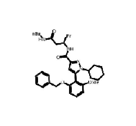 CCCCNC(=O)CC(NC(=O)c1cc(-c2c(OC)cccc2OCc2ccccc2)n(C2CCCCC2)n1)C(C)C